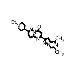 CCN1CCC(c2ccc3nc(-c4cc5c(C)nc(C)cn5n4)cc(=O)n3n2)CC1